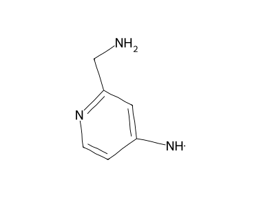 [NH]c1ccnc(CN)c1